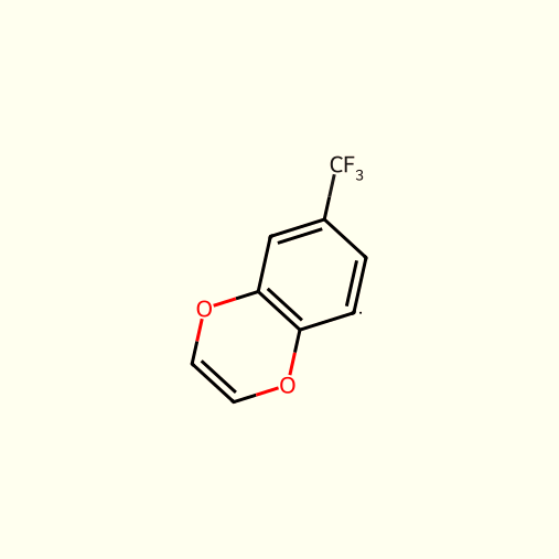 FC(F)(F)c1c[c]c2c(c1)OC=CO2